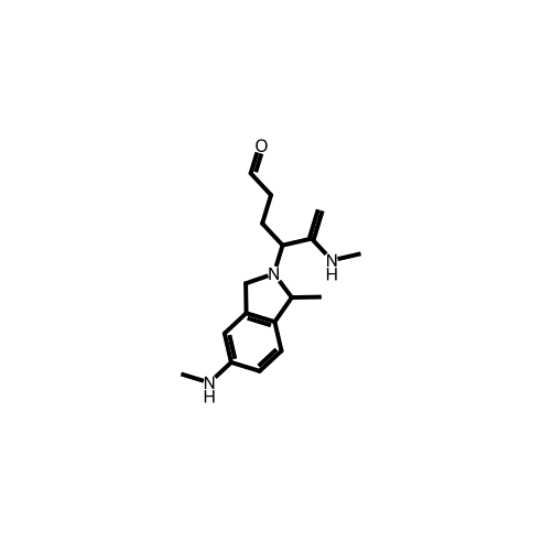 C=C(NC)C(CCC=O)N1Cc2cc(NC)ccc2C1C